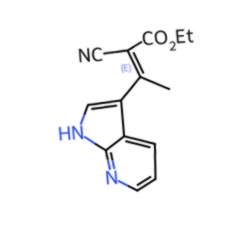 CCOC(=O)/C(C#N)=C(\C)c1c[nH]c2ncccc12